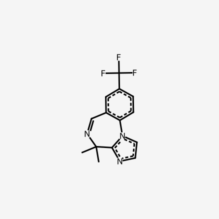 CC1(C)N=Cc2cc(C(F)(F)F)ccc2-n2ccnc21